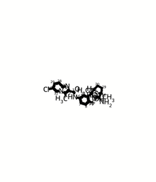 Cc1c(C(=O)Nc2ccc(F)c([C@@]3(C)N=C(N)[C@@]4(C)CC[C@@H]3S4(O)O)c2)nc2ccc(Cl)cn12